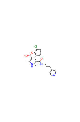 CC1=C(C(=O)O)C(c2cccc(Cl)c2)C(C(=O)NCC=Cc2ccncc2)=C(C)N1